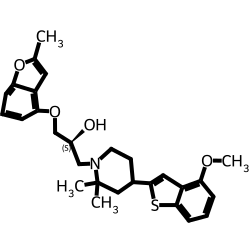 COc1cccc2sc(C3CCN(C[C@H](O)COc4cccc5oc(C)cc45)C(C)(C)C3)cc12